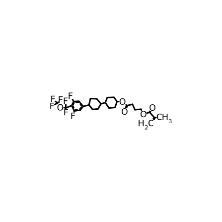 C=C(C)C(=O)OCCCC(=O)OC1CCC(C2CCC(c3cc(F)c(C(F)(F)OC(F)(F)F)c(F)c3)CC2)CC1